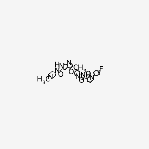 Cc1cc(NC(=O)c2cccn(-c3ccc(F)cc3)c2=O)ncc1Oc1ccnc2cnc(C(=O)NC3CCN(C)CC3)cc12